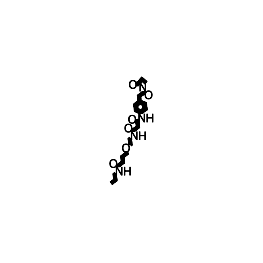 CCCNC(=O)CCCOCCNC(=O)CC(=O)Nc1ccc(CC(=O)N2CCC2=O)cc1